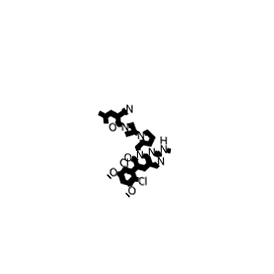 CNc1ncc2cc(-c3c(Cl)c(OC)cc(OC)c3Cl)c(=O)n(CC3CCCN3C3CN(C(=O)/C(C#N)=C\C(C)C)C3)c2n1